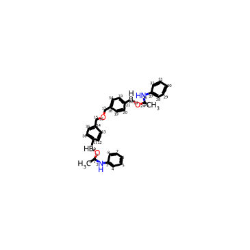 CC(Nc1ccccc1)OBc1ccc(COCc2ccc(BOC(C)Nc3ccccc3)cc2)cc1